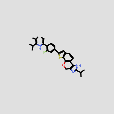 C/C=C(\NC(=C(C)C)C(C)C)c1ccc(-c2cc3ccc4c(c3s2)OCc2nc(C(C)C)[nH]c2-4)cc1F